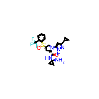 NC1(NC(=O)[C@@H]2C[C@@H]([S+]([O-])c3ccccc3C(F)(F)F)CN2c2cc(C3CC3)n[nH]2)CC1